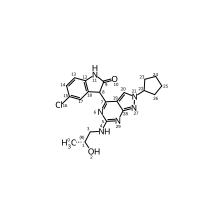 C[C@@H](O)CNc1nc(C2C(=O)Nc3ccc(Cl)cc32)c2cn(C3CCCC3)nc2n1